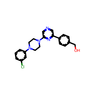 OCc1ccc(-c2cncc(N3CCN(c4cccc(Cl)c4)CC3)n2)cc1